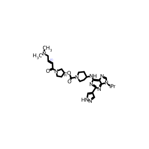 CC(C)n1cnc2c(NC3CCN(C(=O)O[C@@H]4CCN(C(=O)/C=C/CN(C)C)C4)CC3)nc(-c3cn[nH]c3)nc21